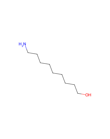 NCCCCCCCCCO